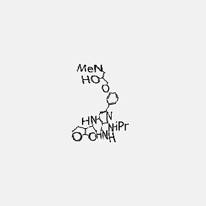 CNCC(O)COc1cccc(-c2cc(NC3COC4OCCC34)c(C=N)c(NC(C)C)n2)c1